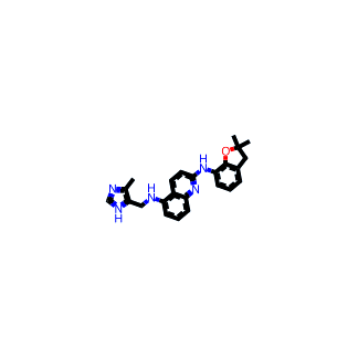 Cc1nc[nH]c1CNc1cccc2nc(Nc3cccc4c3OC(C)(C)C4)ccc12